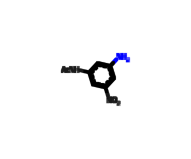 CC(=O)Nc1cc(N)cc([N+](=O)[O-])c1